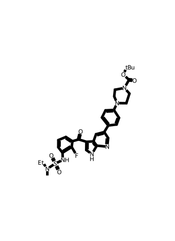 CCN(C)S(=O)(=O)Nc1cccc(C(=O)c2c[nH]c3ncc(-c4ccc(N5CCN(C(=O)OC(C)(C)C)CC5)cc4)cc23)c1F